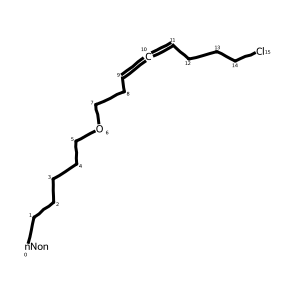 CCCCCCCCCCCCCCOCCC=C=CCCCCl